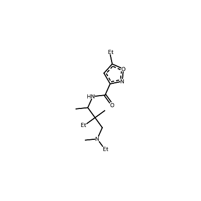 CCc1cc(C(=O)NC(C)C(C)(CC)CN(C)CC)no1